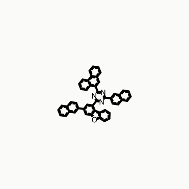 c1ccc2cc(-c3cc(-c4nc(-c5ccc6ccccc6c5)nc(-c5cc6ccccc6c6ccccc56)n4)c4c(c3)oc3ccccc34)ccc2c1